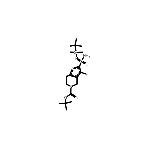 CC(C)(C)OC(=O)N1CCc2sc(S(N)(=O)=N[Si](C)(C)C(C)(C)C)c(F)c2C1